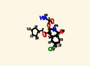 CNC(=O)Oc1c(OCC2CCCC2)c2cc(Cl)ccc2c(=O)n1C